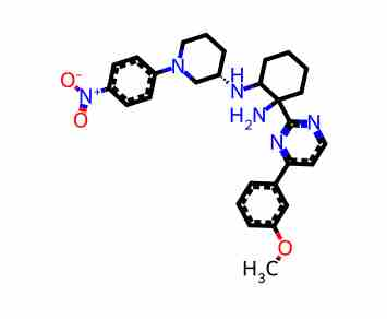 COc1cccc(-c2ccnc(C3(N)CCCCC3N[C@H]3CCCN(c4ccc([N+](=O)[O-])cc4)C3)n2)c1